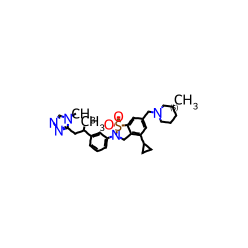 CC(Cc1nncn1C)c1cccc(N2Cc3c(C4CC4)cc(CN4CCC[C@H](C)C4)cc3S2(=O)=O)c1